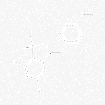 COc1ccc(CN2CC(C)(C)c3c(Cl)nc(Cl)nc32)cc1